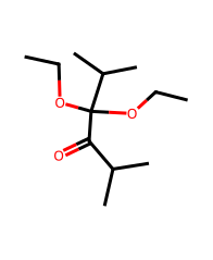 CCOC(OCC)(C(=O)C(C)C)C(C)C